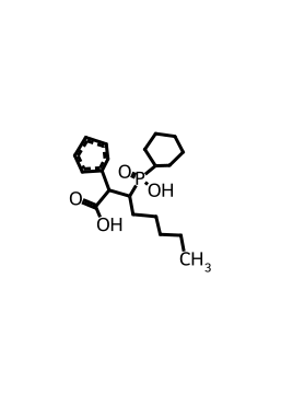 CCCCCC(C(C(=O)O)c1ccccc1)P(=O)(O)C1CCCCC1